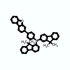 CC1(C)c2ccccc2-c2ccc(N(c3ccc(-c4ccc5c(c4)oc4ccccc45)cc3)c3cccc4c3C(C)(C)c3ccccc3-4)cc21